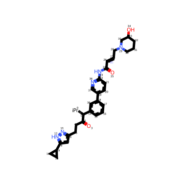 CC(C)C(C(=O)CCc1cc(C2CC2)[nH]n1)c1cccc(-c2ccc(NC(=O)/C=C/CN3CCCC(O)C3)nc2)c1